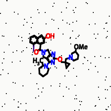 COC1CCCN(CC2(COc3nc4c(c(N5CCCCCC5C)n3)CN(C(=O)c3cc(O)cc5cccc(I)c35)C4)CC2)C1